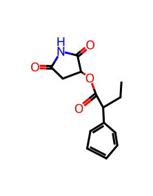 CCC(C(=O)OC1CC(=O)NC1=O)c1ccccc1